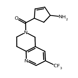 NC1C=CC(C(=O)N2CCc3ncc(C(F)(F)F)cc3C2)C1